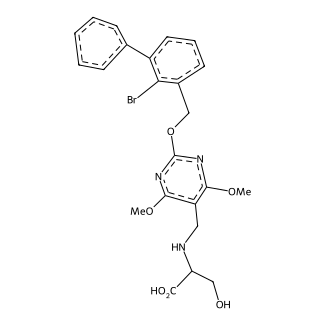 COc1nc(OCc2cccc(-c3ccccc3)c2Br)nc(OC)c1CNC(CO)C(=O)O